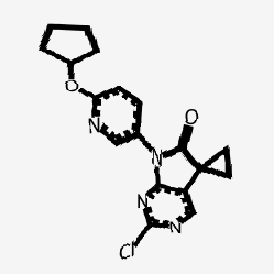 O=C1N(c2ccc(OC3CCCC3)nc2)c2nc(Cl)ncc2C12CC2